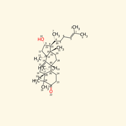 CC(C)=CCC[C@@H](C)[C@@H]1[C@@H](O)C[C@]2(C)C3=CC[C@H]4C(C)(C)C(=O)CC[C@]4(C)[C@H]3CC[C@@]12C